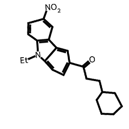 CCn1c2ccc(C(=O)CCC3CCCCC3)cc2c2cc([N+](=O)[O-])ccc21